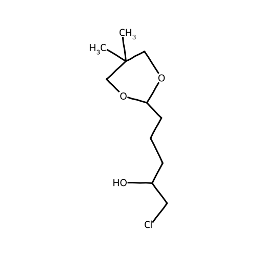 CC1(C)COC(CCCC(O)CCl)OC1